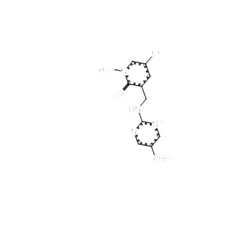 Cn1cc(F)cc(CNc2ncc(C=O)cn2)c1=O